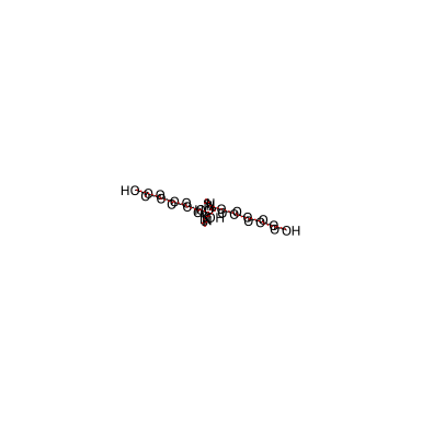 O=C(CCCCCO)OCCCCCC(=O)OCCCCCC(=O)OCCCCCC(=O)OCCCCCC(=O)OCCc1cc(Cc2cc(CCOC(=O)CCCCCOC(=O)CCCCCOC(=O)CCCCCOC(=O)CCCCCOC(=O)CCCCCO)cc(-n3nc4ccccc4n3)c2O)c(O)c(-n2nc3ccccc3n2)c1